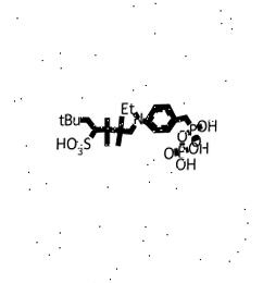 CCN(CC(C)(C)C(C)(C)C(CC(C)(C)C)S(=O)(=O)O)c1ccc(CP(=O)(O)OP(=O)(O)O)cc1